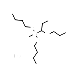 CCCCO[Si](C)(OCCCC)C(CC)OCCC.O